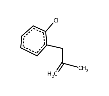 C=C(C)Cc1ccccc1Cl